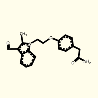 Cc1c(C=O)c2ccccc2n1CCOc1ccc(CC(N)=O)cc1